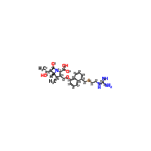 C[C@@H](O)[C@H]1C(=O)N2C(C(=O)O)=C(COc3cccc4c(CSCCNC(=N)N)cccc34)[C@H](C)[C@H]12